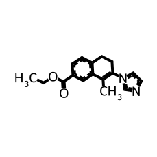 CCOC(=O)c1ccc2c(c1)C(C)=C(n1ccnc1)CC2